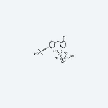 CO[C@@H]1[C@@H](O)[C@H](c2ccc(Cl)c(Cc3ccc(C#CC(C)(C)O)cc3)c2)O[C@H](CO)[C@H]1O